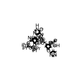 CC(C)[Si]1(C(C)C)OC[C@H]2C[C@@H](n3nnc4c(=O)[nH]cnc43)[C@@H](OP(=S)(OCCC#N)OC[C@H]3C[C@@H](Oc4ccncn4)C[C@@H]3O[PH](=O)O)[C@@H]2O[Si](C(C)C)(C(C)C)O1